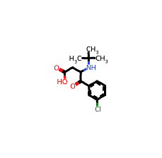 CC(C)(C)NC(CC(=O)O)C(=O)c1cccc(Cl)c1